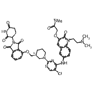 CNC(=O)COc1cc2cc(Nc3nc(N4CCC[C@H](COc5cccc6c5C(=O)N(C5CCC(=O)NC5=O)C6=O)C4)ncc3Cl)ccc2n(CCN(C)C)c1=O